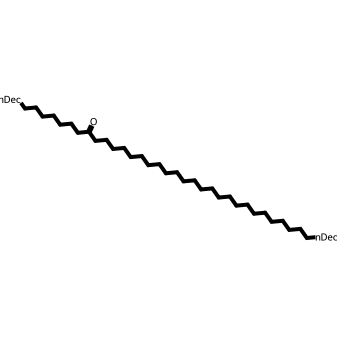 CCCCCCCCCCCCCCCCCCCCCCCCCCCCCCCCCCCC(=O)CCCCCCCCCCCCCCCCC